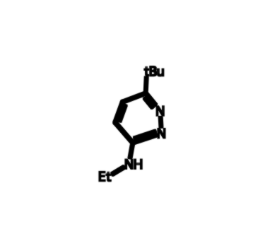 CCNc1ccc(C(C)(C)C)nn1